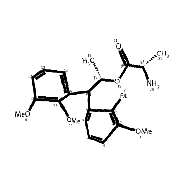 CCc1c(OC)cccc1C(c1cccc(OC)c1OC)[C@H](C)OC(=O)[C@H](C)N